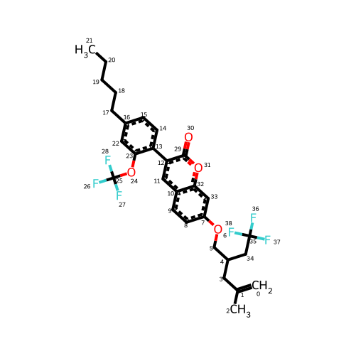 C=C(C)CC(COc1ccc2cc(-c3ccc(CCCCC)cc3OC(F)(F)F)c(=O)oc2c1)CC(F)(F)F